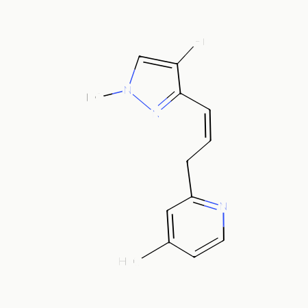 CCc1cn(C)nc1/C=C\Cc1cc(C)ccn1